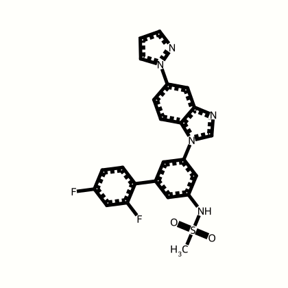 CS(=O)(=O)Nc1cc(-c2ccc(F)cc2F)cc(-n2cnc3cc(-n4cccn4)ccc32)c1